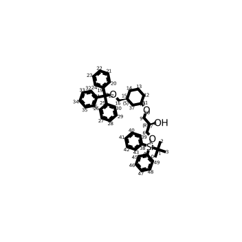 CC(C)(C)[Si](OC[C@H](O)CO[C@@H]1CCC[C@H](COC(c2ccccc2)(c2ccccc2)c2ccccc2)C1)(c1ccccc1)c1ccccc1